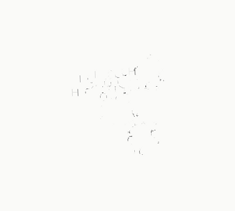 C=C(C)C(=O)OC1(OC(=O)C(=C)C)CCCCCCCCC1.[C]1CCCCCCCCC1.[C]1CCCCCCCCC1